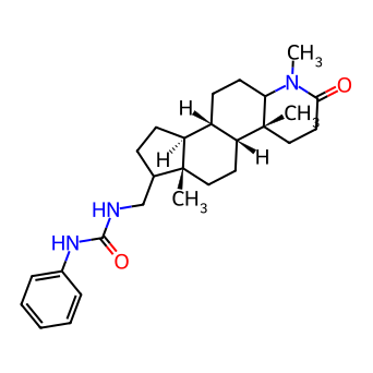 CN1C(=O)CC[C@@]2(C)C1CC[C@@H]1[C@H]2CC[C@]2(C)C(CNC(=O)Nc3ccccc3)CC[C@@H]12